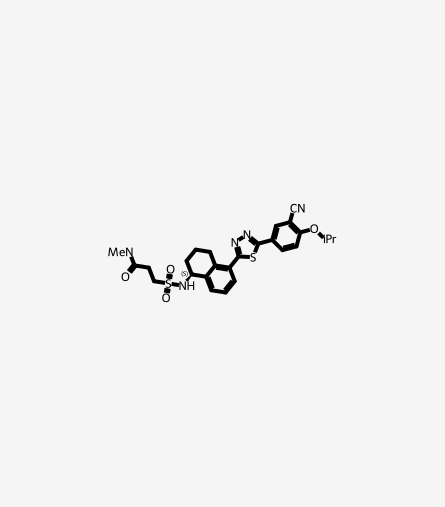 CNC(=O)CCS(=O)(=O)N[C@H]1CCCc2c(-c3nnc(-c4ccc(OC(C)C)c(C#N)c4)s3)cccc21